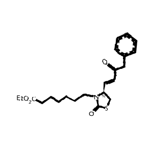 CCOC(=O)CCCCCCN1C(=O)SC[C@@H]1C=CC(=O)Cc1ccccc1